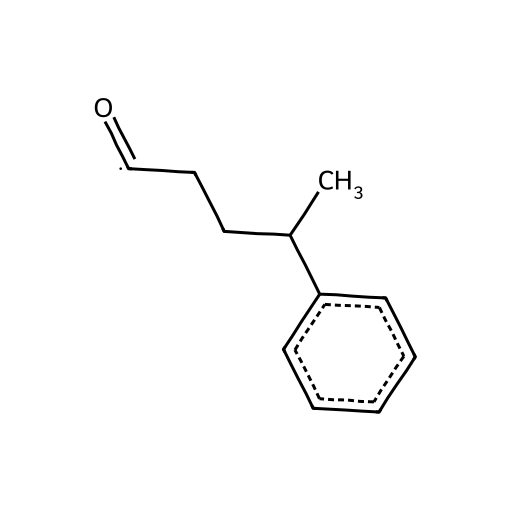 CC(CC[C]=O)c1ccccc1